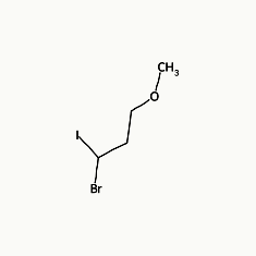 COCCC(Br)I